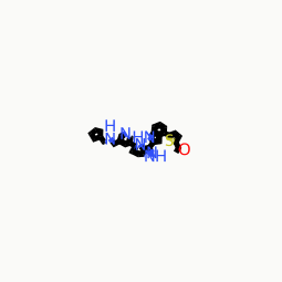 CC(=O)c1ccc(-c2cccc3[nH]c(-c4n[nH]c5ccc(-c6cncc(CNCC7CCCC7)c6)nc45)cc23)s1